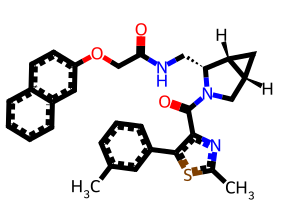 Cc1cccc(-c2sc(C)nc2C(=O)N2C[C@H]3C[C@H]3[C@H]2CNC(=O)COc2ccc3ccccc3c2)c1